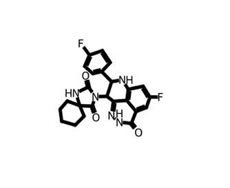 O=C1NC2(CCCCC2)C(=O)N1C1c2n[nH]c(=O)c3cc(F)cc(c23)NC1c1ccc(F)cc1